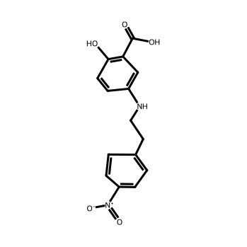 O=C(O)c1cc(NCCc2ccc([N+](=O)[O-])cc2)ccc1O